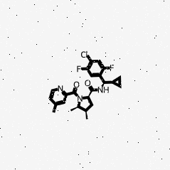 Cc1ccnc(C(=O)N2[C@@H](C(=O)N[C@@H](c3cc(F)c(Cl)cc3F)C3CC3)C[C@@H](C)[C@H]2C)c1